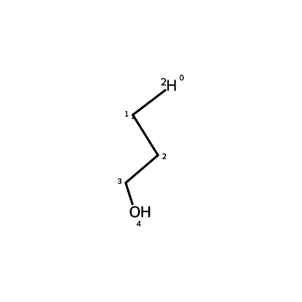 [2H][CH]CCO